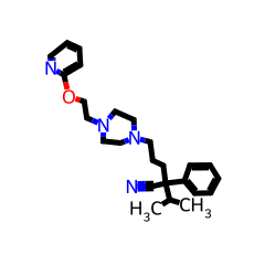 CC(C)C(C#N)(CCCN1CCN(CCOc2ccccn2)CC1)c1ccccc1